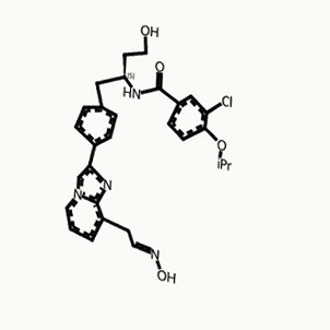 CC(C)Oc1ccc(C(=O)N[C@H](CCO)Cc2ccc(-c3cn4cccc(CC=NO)c4n3)cc2)cc1Cl